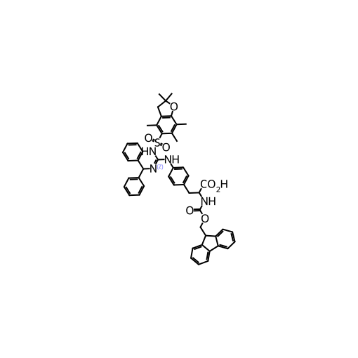 Cc1c(C)c(S(=O)(=O)N/C(=N\C(c2ccccc2)c2ccccc2)Nc2ccc(CC(NC(=O)OCC3c4ccccc4-c4ccccc43)C(=O)O)cc2)c(C)c2c1OC(C)(C)C2